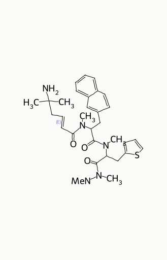 CNN(C)C(=O)C(Cc1cccs1)N(C)C(=O)C(Cc1ccc2ccccc2c1)N(C)C(=O)/C=C/CC(C)(C)N